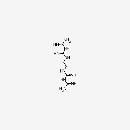 N=C(N)NC(=N)NCCNC(=N)NC(=N)N